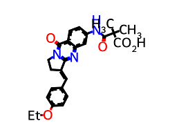 CCOc1ccc(C=C2CCn3c2nc2cc(NC(=O)C(C)(C)C(=O)O)ccc2c3=O)cc1